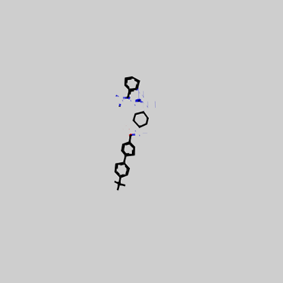 CN(C)c1nc(N[C@H]2CC[C@@H](NC(=O)c3ccc(-c4ccc(C(C)(C)C)cc4)cc3)CC2)nc2ccccc12